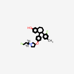 [2H]C([2H])(CCF)N1CC[C@H](Oc2ccc(C3=C(c4ccc(C)cc4F)CCCc4cc(O)ccc43)cc2)C1